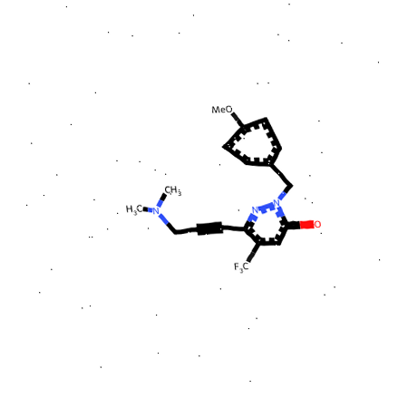 COc1ccc(Cn2nc(C#CCN(C)C)c(C(F)(F)F)cc2=O)cc1